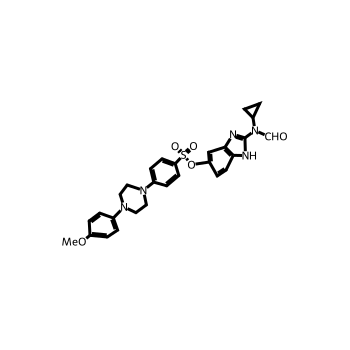 COc1ccc(N2CCN(c3ccc(S(=O)(=O)Oc4ccc5[nH]c(N(C=O)C6CC6)nc5c4)cc3)CC2)cc1